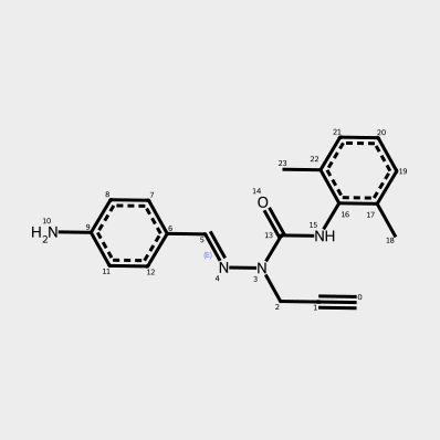 C#CCN(/N=C/c1ccc(N)cc1)C(=O)Nc1c(C)cccc1C